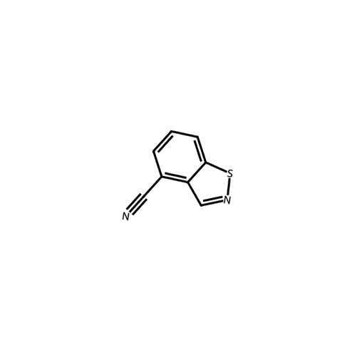 N#Cc1cccc2sncc12